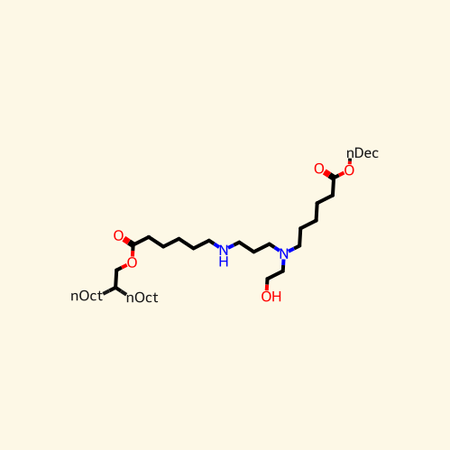 CCCCCCCCCCOC(=O)CCCCCN(CCO)CCCNCCCCCC(=O)OCC(CCCCCCCC)CCCCCCCC